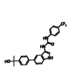 CC(C)(O)c1ccc(-c2ccc3[nH]cc(NC(=O)Nc4ccc(C(F)(F)F)cc4)c3c2)cc1